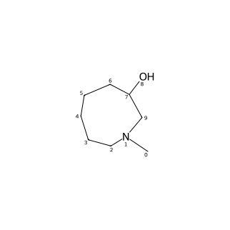 CN1CCCCCC(O)C1